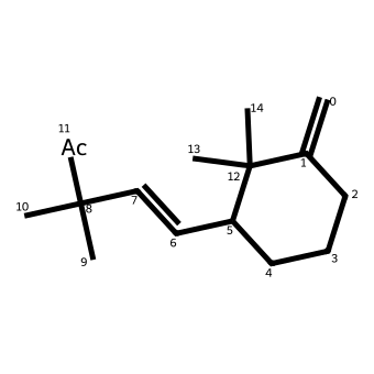 C=C1CCCC(/C=C/C(C)(C)C(C)=O)C1(C)C